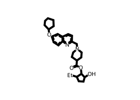 CCC1CCC(O)C1OC(=O)C1CCN(Cc2ccc3cc(OC4CCCCC4)ccc3n2)CC1